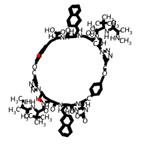 CN[C@@H](C)C(=O)NC(C(=O)N1C[C@@H]2C[C@H]1C(=O)N[C@@H](Cc1ccc3ccccc3c1)C(=O)N[C@H](c1nc(=O)o[nH]1)Cc1ccc(cc1)OCc1cn(nn1)[C@H]1C[C@@H](C(=O)N[C@@H](Cc3ccc4ccccc4c3)C(=O)N[C@H](C(=O)O)Cc3ccc(cc3)OCc3cn2nn3)N(C(=O)[C@@H](NC(=O)[C@H](C)NC)C(C)(C)C)C1)C(C)(C)C